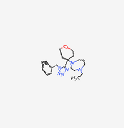 CCN1CCCN(C2(c3nnnn3Cc3ccccc3)CCOCC2)CC1